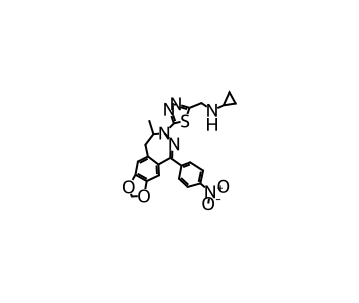 CC1Cc2cc3c(cc2C(c2ccc([N+](=O)[O-])cc2)=NN1c1nnc(CNC2CC2)s1)OCO3